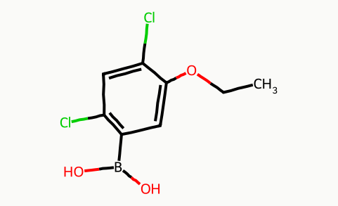 CCOc1cc(B(O)O)c(Cl)cc1Cl